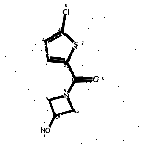 O=C(c1ccc(Cl)s1)N1CC(O)C1